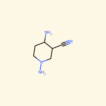 N#CC1CN(N)CCC1N